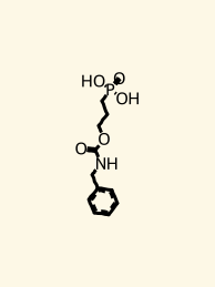 O=C(NCc1ccccc1)OCCCP(=O)(O)O